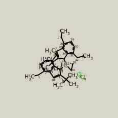 CCc1ccc(CC)c2c1C=C(C(C)(C)C)[CH]2[Hf+2]1([CH]2C(C(C)(C)C)=Cc3c(CC)ccc(CC)c32)[CH2][CH2]1.[Cl-].[Cl-]